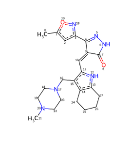 Cc1cc(C2=NNC(=O)C2=Cc2[nH]c3c(c2CN2CCN(C)CC2)CCCC3)no1